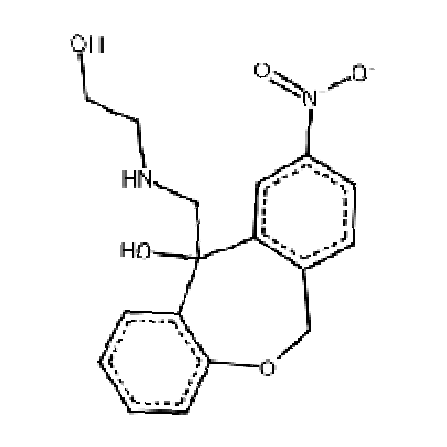 O=[N+]([O-])c1ccc2c(c1)C(O)(CNCCO)c1ccccc1OC2